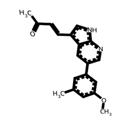 COc1cc(C)cc(-c2cnc3[nH]cc(/C=C/C(C)=O)c3c2)c1